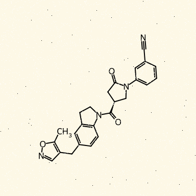 Cc1oncc1Cc1ccc2c(c1)CCN2C(=O)[C@H]1CC(=O)N(c2cccc(C#N)c2)C1